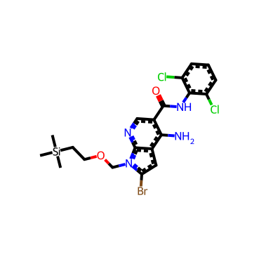 C[Si](C)(C)CCOCn1c(Br)cc2c(N)c(C(=O)Nc3c(Cl)cccc3Cl)cnc21